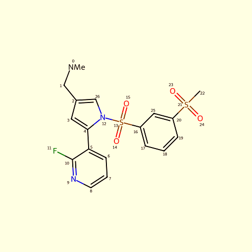 CNCc1cc(-c2cccnc2F)n(S(=O)(=O)c2cccc(S(C)(=O)=O)c2)c1